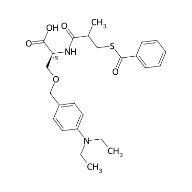 CCN(CC)c1ccc(COC[C@H](NC(=O)C(C)CSC(=O)c2ccccc2)C(=O)O)cc1